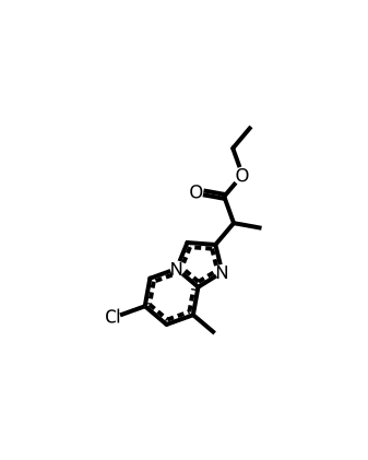 CCOC(=O)C(C)c1cn2cc(Cl)cc(C)c2n1